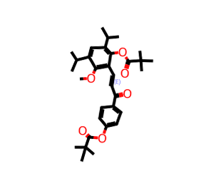 COc1c(C(C)C)cc(C(C)C)c(OC(=O)C(C)(C)C)c1/C=C/C(=O)c1ccc(OC(=O)C(C)(C)C)cc1